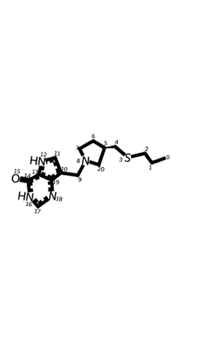 CCCSC[C@@H]1CCN(Cc2c[nH]c3c(=O)[nH]cnc23)C1